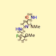 CNCc1nc(C2CC(c3c(F)cccc3OC)=CN2)ccc1C1CNCCO1